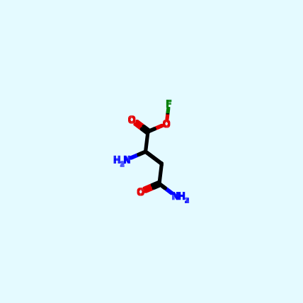 NC(=O)CC(N)C(=O)OF